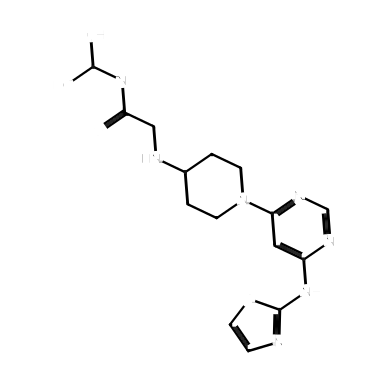 CC(C)NC(=O)CNC1CCN(c2cc(Nc3nccs3)ncn2)CC1